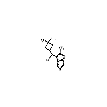 CC1(C)CC(C(O)c2c(C(F)(F)F)sc3cncn23)C1